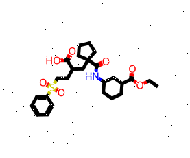 CCOC(=O)C1CCCC(NC(=O)C2(CC(CCS(=O)(=O)c3ccccc3)C(=O)O)CCCC2)C1